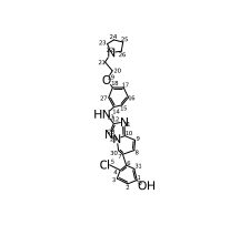 Oc1ccc(Cl)c(-c2ccc3nc(Nc4cccc(OCCN5CCCC5)c4)nn3c2)c1